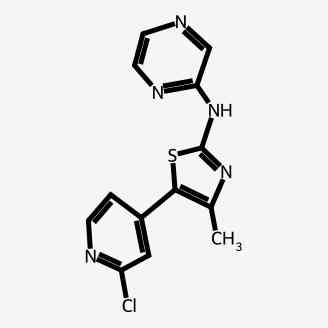 Cc1nc(Nc2cnccn2)sc1-c1ccnc(Cl)c1